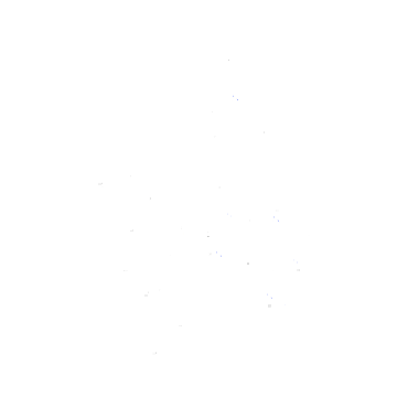 CC(=O)N1CCC(CCn2c(Sc3cc4c(cc3-c3cccs3)OCCO4)nc3c(N)ncnc32)CC1